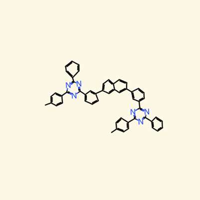 Cc1ccc(-c2nc(-c3ccccc3)nc(-c3cccc(-c4ccc5ccc(-c6cccc(-c7nc(-c8ccccc8)nc(-c8ccc(C)cc8)n7)c6)cc5c4)c3)n2)cc1